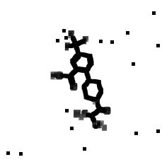 CC(C)C(=O)N1CCC(c2ccc(C(F)(F)F)cc2C(=O)O)CC1